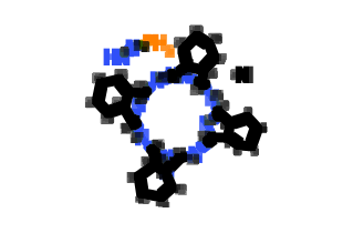 N=NP.[Ni].c1ccc2c(c1)-c1nc-2nc2[nH]c(nc3nc(nc4[nH]c(n1)c1ccccc41)-c1ccccc1-3)c1ccccc21